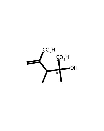 C=C(C(=O)O)C(C)[C@@](C)(O)C(=O)O